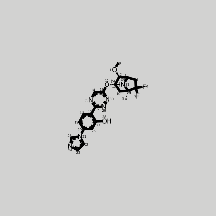 CO[C@H]1C2CC(F)(F)[C@@](C)(C[C@@H]1Oc1cnc(-c3ccc(-n4ccnc4)cc3O)nn1)N2